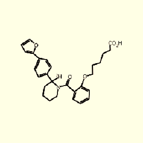 [2H]C1(c2ccc(-c3ccco3)cc2)CCCCN1C(=O)c1ccccc1OCCCCCC(=O)O